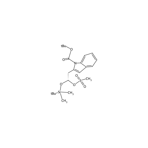 CC(C)(C)OC(=O)n1c(C[C@@H](O[Si](C)(C)C(C)(C)C)OS(C)(=O)=O)cc2ccccc21